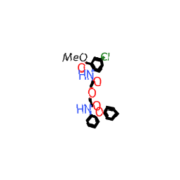 COC(=O)c1cc(Cl)ccc1NC(=O)COCC(=O)Nc1ccccc1Oc1ccccc1